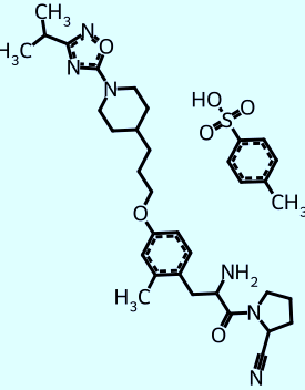 Cc1cc(OCCCC2CCN(c3nc(C(C)C)no3)CC2)ccc1CC(N)C(=O)N1CCCC1C#N.Cc1ccc(S(=O)(=O)O)cc1